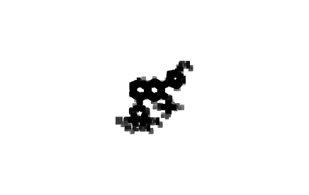 Cn1cc(-c2cc3nccc(B4OC(C)(C)C(C)(C)O4)c3cc2OC(F)(F)F)cn1